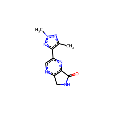 Cc1nn(C)nc1-c1cnc2c(n1)C(=O)NC2